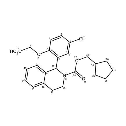 O=C(O)COc1ccc(Cl)cc1C1c2ccccc2CCN1C(=O)OCC1CCCC1